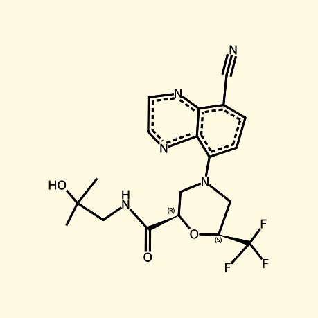 CC(C)(O)CNC(=O)[C@H]1CN(c2ccc(C#N)c3nccnc23)C[C@@H](C(F)(F)F)O1